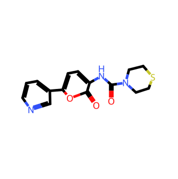 O=C(Nc1ccc(-c2cccnc2)oc1=O)N1CCSCC1